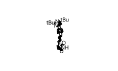 CC(C)(C)c1cc(N2CCN(CCCCn3ccc(=O)[nH]c3=O)CC2)nc(C(C)(C)C)n1